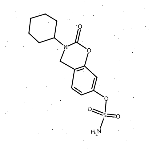 NS(=O)(=O)Oc1ccc2c(c1)OC(=O)N(C1CCCCC1)C2